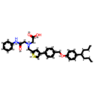 CCCC(CCC)c1ccc(OCc2ccc(-c3csc(CN(CC(=O)O)CC(=O)Nc4ccccc4)c3)cc2)cc1